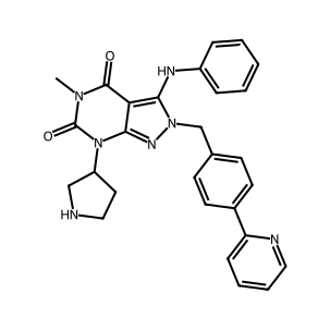 Cn1c(=O)c2c(Nc3ccccc3)n(Cc3ccc(-c4ccccn4)cc3)nc2n(C2CCNC2)c1=O